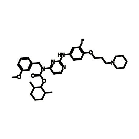 COc1cccc(CN(C(=O)OC2C(C)CCCC2C)c2ccnc(Nc3ccc(OCCCN4CCCCC4)c(F)c3)n2)c1